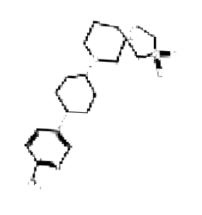 O=S1(=O)CC[C@]2(CCCN([C@H]3CC[C@@H](c4ccc(C(F)(F)F)nc4)CC3)C2)C1